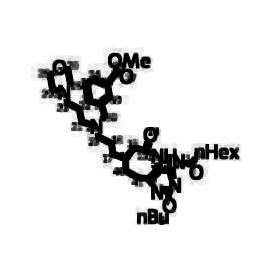 CCCCCCC(=O)Nc1nc(OCCCC)nc2c1NC(=O)CC(CCCN(CCCN1CCOCC1)Cc1cccc(C(=O)OC)c1)CC2